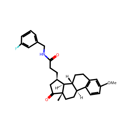 COc1ccc2c(c1)CC[C@H]1[C@@H]3[C@H](CCC(=O)NCc4cccc(F)c4)CC(=O)[C@@]3(C)CC[C@H]21